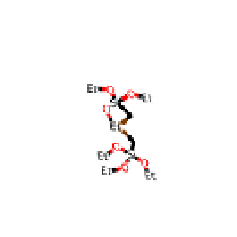 CCO[Si](CSC[Si](OCC)(OCC)OCC)(OCC)OCC